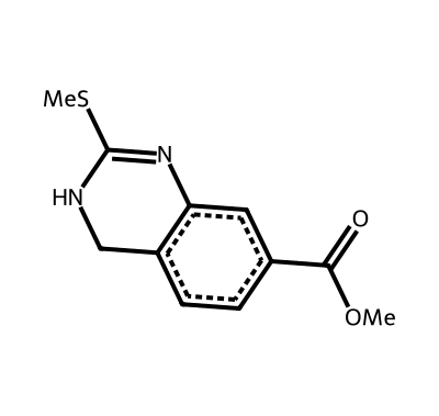 COC(=O)c1ccc2c(c1)N=C(SC)NC2